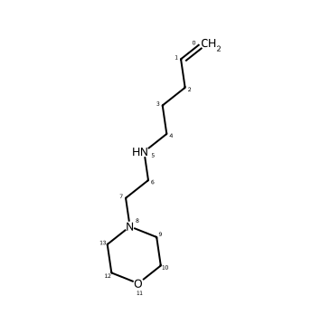 C=CCCCNCCN1CCOCC1